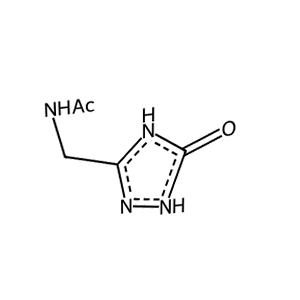 CC(=O)NCc1n[nH]c(=O)[nH]1